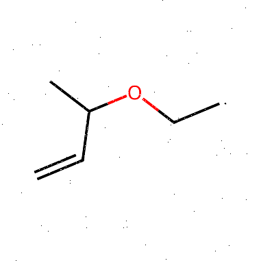 [CH2]COC(C)C=C